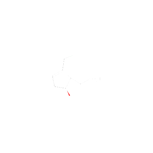 C[C@@]1(CC(=O)O)C(CCl)=CC[C@@H]1O